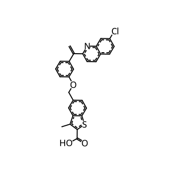 C=C(c1cccc(OCc2ccc3sc(C(=O)O)c(C)c3c2)c1)c1ccc2ccc(Cl)cc2n1